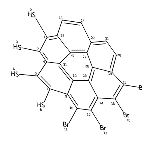 Sc1c(S)c2c(S)c(S)c3c(Br)c(Br)c4c(Br)c(Br)c5ccc6ccc1c1c6c5c4c3c21